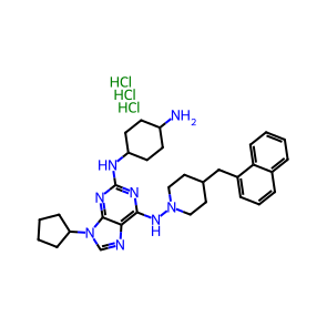 Cl.Cl.Cl.NC1CCC(Nc2nc(NN3CCC(Cc4cccc5ccccc45)CC3)c3ncn(C4CCCC4)c3n2)CC1